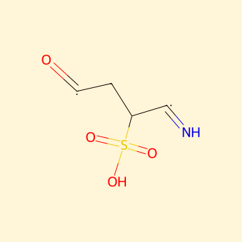 N=[C]C(C[C]=O)S(=O)(=O)O